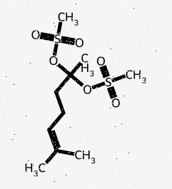 CC(C)=CCCC(C)(OS(C)(=O)=O)OS(C)(=O)=O